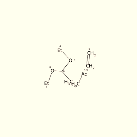 C=C.CC(C)=O.CCOC(C)OCC